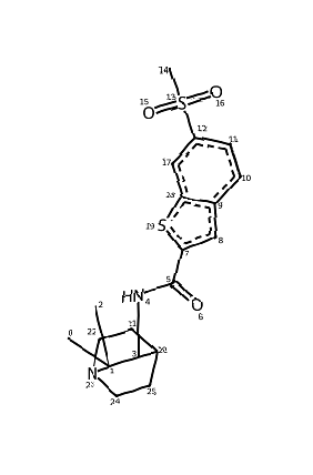 CC1(C)C(NC(=O)c2cc3ccc(S(C)(=O)=O)cc3s2)C2CCN1CC2